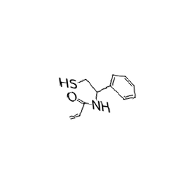 C=CC(=O)NC(CS)c1ccccc1